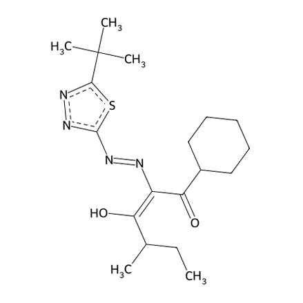 CCC(C)/C(O)=C(/N=Nc1nnc(C(C)(C)C)s1)C(=O)C1CCCCC1